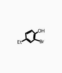 CCc1ccc(O)c(Br)c1